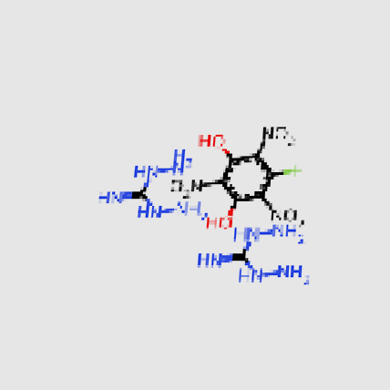 N=C(NN)NN.N=C(NN)NN.O=[N+]([O-])c1c(O)c([N+](=O)[O-])c(F)c([N+](=O)[O-])c1O